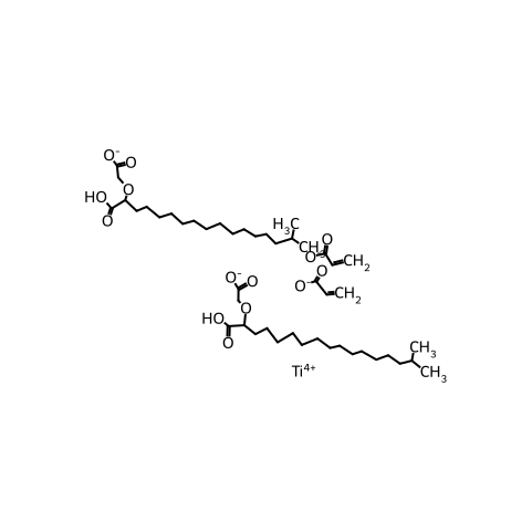 C=CC(=O)[O-].C=CC(=O)[O-].CC(C)CCCCCCCCCCCCCC(OCC(=O)[O-])C(=O)O.CC(C)CCCCCCCCCCCCCC(OCC(=O)[O-])C(=O)O.[Ti+4]